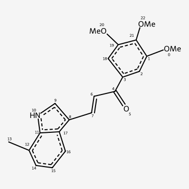 COc1cc(C(=O)/C=C/c2c[nH]c3c(C)cccc23)cc(OC)c1OC